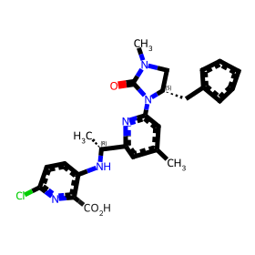 Cc1cc([C@@H](C)Nc2ccc(Cl)nc2C(=O)O)nc(N2C(=O)N(C)C[C@@H]2Cc2ccccc2)c1